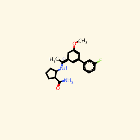 COC1=CC(c2cccc(F)c2)=C/C(=C(/C)NC2CCCC2C(N)=O)C1